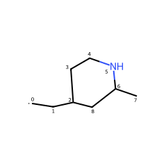 [CH2]CC1CCNC(C)C1